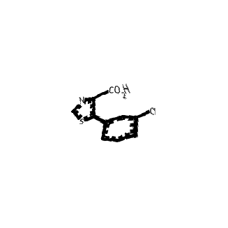 O=C(O)c1ncsc1-c1cccc(Cl)c1